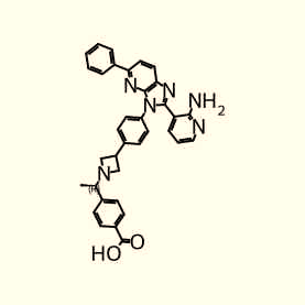 C[C@H](c1ccc(C(=O)O)cc1)N1CC(c2ccc(-n3c(-c4cccnc4N)nc4ccc(-c5ccccc5)nc43)cc2)C1